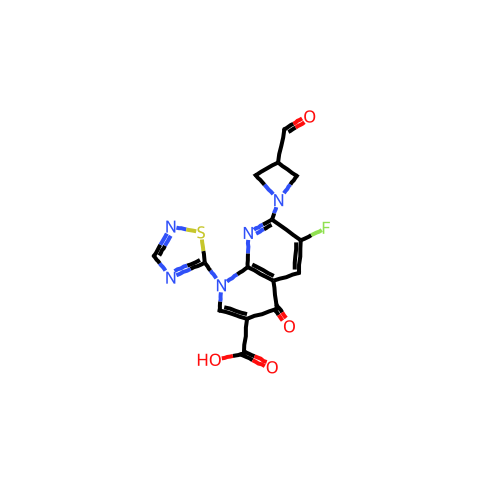 O=CC1CN(c2nc3c(cc2F)c(=O)c(C(=O)O)cn3-c2ncns2)C1